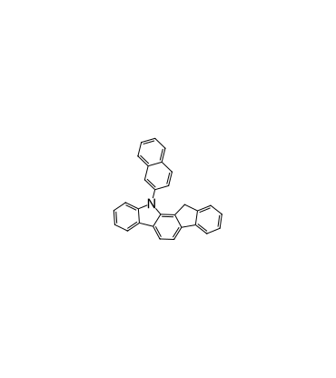 c1ccc2c(c1)Cc1c-2ccc2c3ccccc3n(-c3ccc4ccccc4c3)c12